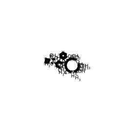 CC[C@H]1OC(=O)[C@H](C)[C@@H](O)[C@H](C)[C@@H](O[C@@H]2O[C@H](C)C[C@H](N(C)C(=O)N(C)C3CCC3)[C@H]2Oc2ccccc2)[C@](C)(O)C[C@@H](C)CN[C@H](C)[C@@H](O)[C@]1(C)O